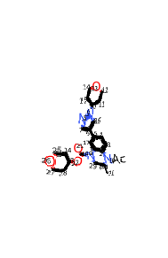 CC(=O)N1c2ccc(-c3cnn(C4CCOCC4)c3)cc2N(C(=O)OC2CCOCC2)C[C@@H]1C